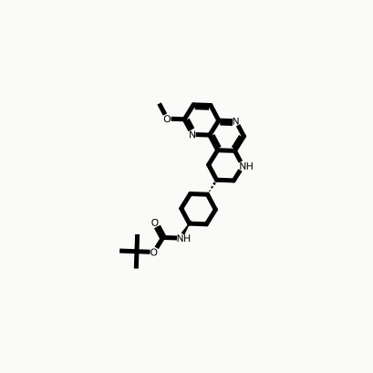 COc1ccc2ncc3c(c2n1)CC([C@H]1CC[C@H](NC(=O)OC(C)(C)C)CC1)CN3